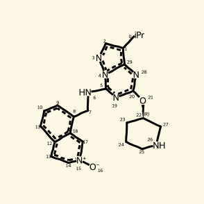 CC(C)c1cnn2c(NCc3cccc4cc[n+]([O-])cc34)nc(O[C@@H]3CCCNC3)nc12